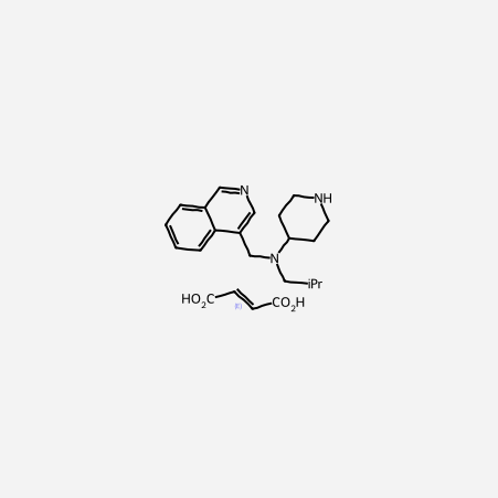 CC(C)CN(Cc1cncc2ccccc12)C1CCNCC1.O=C(O)/C=C/C(=O)O